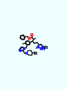 CCC1CCN(Cc2nccn2Cc2cc(C(CCC3=CN(CC)NN3C)C(C)C(=O)OCc3ccccc3)ccc2C)CC1